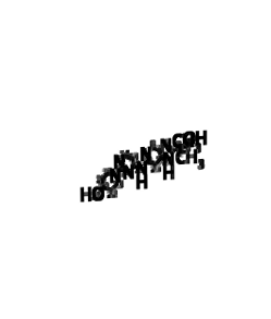 CC(C)(CO)c1nc2cnc(Nc3ccnc(N4CCC(O)CC4)n3)cc2[nH]1